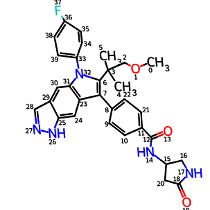 COCC(C)(C)c1c(-c2ccc(C(=O)NC3CNC(=O)C3)cc2)c2cc3[nH]ncc3cc2n1-c1ccc(F)cc1